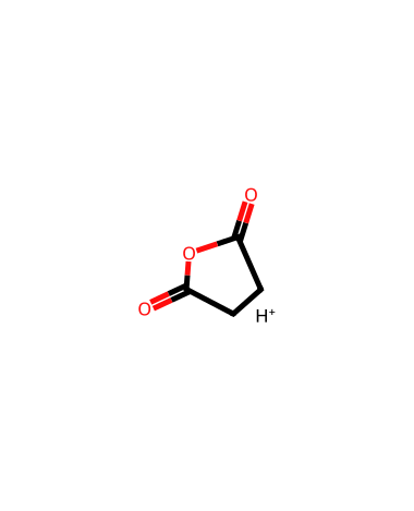 O=C1CCC(=O)O1.[H+]